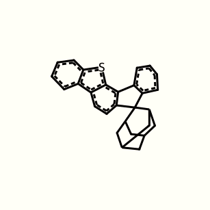 c1ccc2c(c1)-c1c(ccc3c1sc1ccccc13)C21C2CC3CC(C2)CC1C3